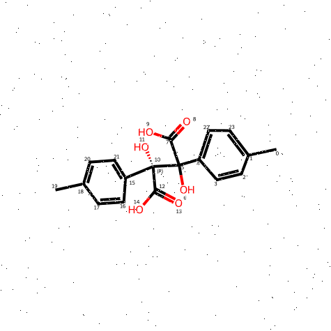 Cc1ccc(C(O)(C(=O)O)[C@@](O)(C(=O)O)c2ccc(C)cc2)cc1